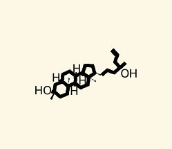 C=CCC(C)(O)CCC[C@H]1CC[C@H]2[C@@H]3CC[C@H]4C[C@@](C)(O)CC[C@]4(C)[C@H]3CC[C@]12C